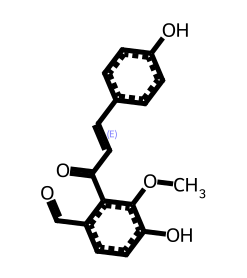 COc1c(O)ccc(C=O)c1C(=O)/C=C/c1ccc(O)cc1